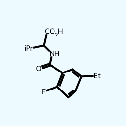 CCc1ccc(F)c(C(=O)NC(C(=O)O)C(C)C)c1